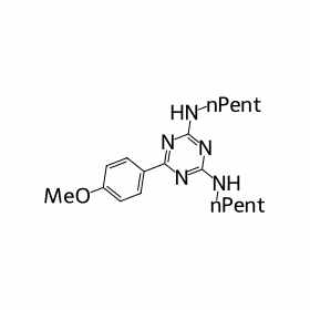 CCCCCNc1nc(NCCCCC)nc(-c2ccc(OC)cc2)n1